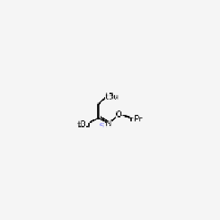 CCCO/N=C(\CC(C)(C)C)C(C)(C)C